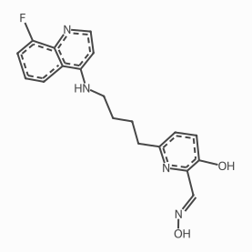 ON=Cc1nc(CCCCNc2ccnc3c(F)cccc23)ccc1O